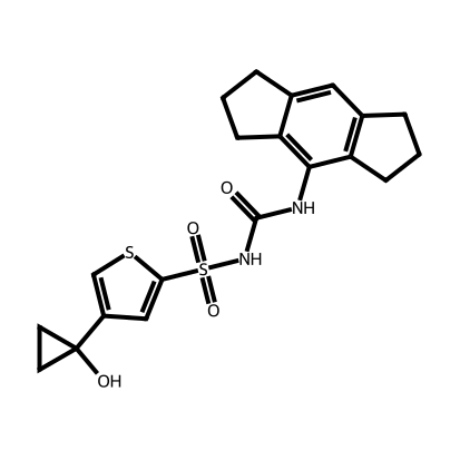 O=C(Nc1c2c(cc3c1CCC3)CCC2)NS(=O)(=O)c1cc(C2(O)CC2)cs1